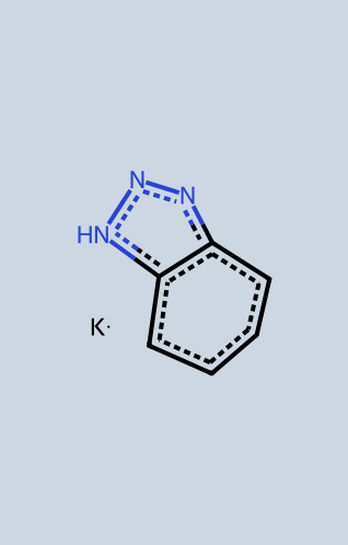 [K].c1ccc2[nH]nnc2c1